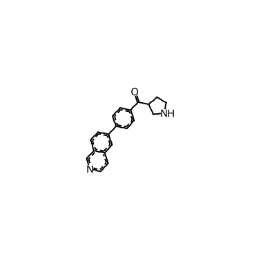 O=C(c1ccc(-c2ccc3cnccc3c2)cc1)C1CCNC1